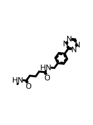 CNC(=O)CCCC(=O)NCc1ccc(-c2nncnn2)cc1